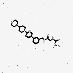 CC(C)(C)OC(=O)NCC(=O)NCc1cccc(-c2cnc(N3CCC(N4CCOCC4)CC3)nc2)c1